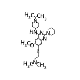 COc1cc2c(NC3CCN(C(C)C)CC3)nc(N3CCCCC3)nc2cc1C#CCCN(C)C